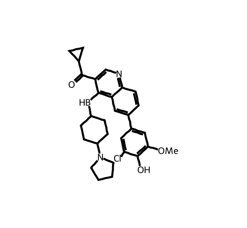 COc1cc(-c2ccc3ncc(C(=O)C4CC4)c(BC4CCC(N5CCCC5)CC4)c3c2)cc(Cl)c1O